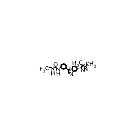 Cc1c(-c2ccn3c(-c4cccc(NC(=O)NCC(F)(F)F)c4)cnc3c2)nnn1C